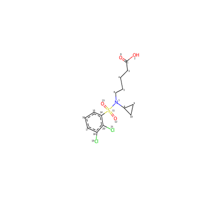 O=C(O)CCCCN(C1CC1)S(=O)(=O)c1cccc(Cl)c1Cl